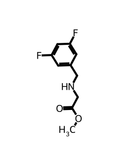 COC(=O)CNCc1cc(F)cc(F)c1